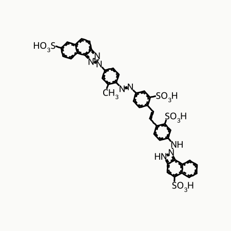 Cc1cc(-n2n3c4ccc5cc(S(=O)(=O)O)ccc5c4n23)ccc1N=Nc1ccc(C=Cc2ccc(Nn3[nH]c4cc(S(=O)(=O)O)c5ccccc5c43)cc2S(=O)(=O)O)c(S(=O)(=O)O)c1